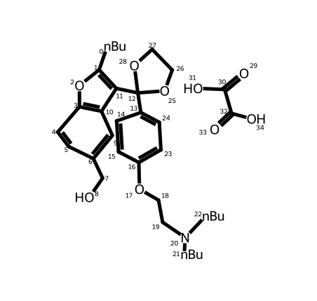 CCCCc1oc2ccc(CO)cc2c1C1(c2ccc(OCCN(CCCC)CCCC)cc2)OCCO1.O=C(O)C(=O)O